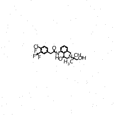 CC(C)(CO)N1CC(=O)c2c(cccc2NC(=O)Cc2ccc(Cl)c(C(F)(F)F)c2)C1